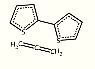 C=C=C.c1csc(-c2cccs2)c1